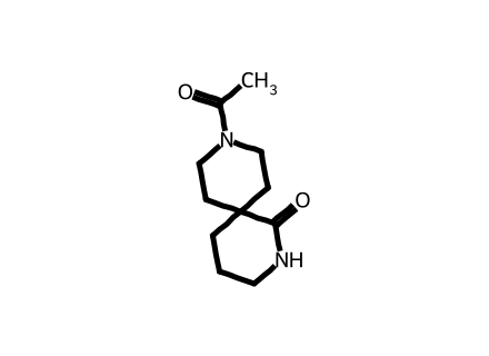 CC(=O)N1CCC2(CCCNC2=O)CC1